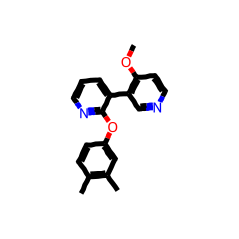 COc1ccncc1-c1cccnc1Oc1ccc(C)c(C)c1